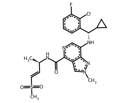 C[C@H](/C=C/S(C)(=O)=O)NC(=O)c1ncc(N[C@H](c2cccc(F)c2Cl)C2CC2)c2nn(C)cc12